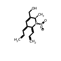 C=C/C=C1/C=C(CO)[C@@H](C)N([SH](=O)=O)/C1=C/C=C